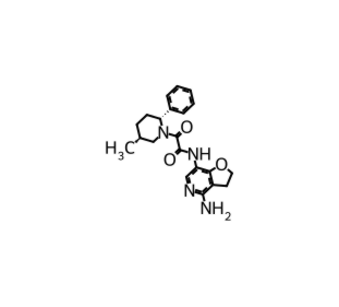 C[C@H]1CC[C@H](c2ccccc2)N(C(=O)C(=O)Nc2cnc(N)c3c2OCC3)C1